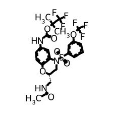 CC(=O)NC[C@H]1CN(S(=O)(=O)c2cccc(OC(F)(F)F)c2)c2cc(NC(=O)OC(C)(C)C(F)(F)F)ccc2O1